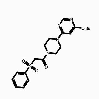 CC(C)COc1cc(N2CCN(C(=O)CS(=O)(=O)c3ccccc3)CC2)ncn1